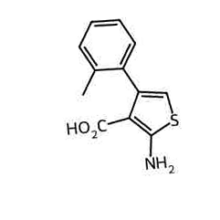 Cc1ccccc1-c1csc(N)c1C(=O)O